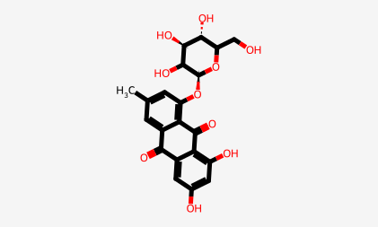 Cc1cc(O[C@@H]2OC(CO)[C@@H](O)[C@H](O)C2O)c2c(c1)C(=O)c1cc(O)cc(O)c1C2=O